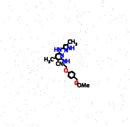 COOCc1ccc(OCCNc2nc(Nc3cc(C)[nH]n3)cc(C)c2C#N)cc1